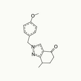 COc1ccc(Cn2cc3c(n2)C(C)CCC3=O)cc1